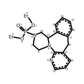 CCOP(=O)(OCC)N1CCN2c3ncccc3Cc3ccccc3C2C1